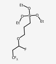 CCO[Si](CCCOC(F)CC(F)(F)F)(OCC)OCC